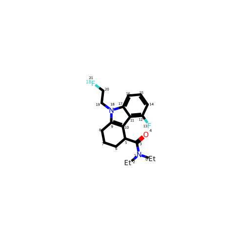 CCN(CC)C(=O)C1CCCc2c1c1c(F)cccc1n2CC[18F]